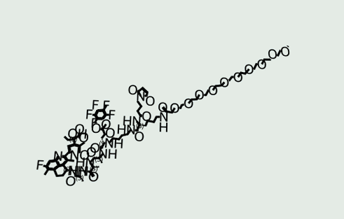 CC[C@@]1(O)C(=O)OCc2c1cc1n(c2=O)Cc2c-1nc1cc(F)c(C)c3c1c2[C@@H](NC(=O)[C@H](C)NC(=O)[C@H](C)NC(=O)[C@H](C)NC(=O)[C@H](CCC(=O)Oc1c(F)c(F)c(F)c(F)c1F)NC(=O)CCCNC(=O)[C@H](CCCCNC(=O)COCCOCCOCCOCCOCCOCCOCCOCCOCCOC)NC(=O)CCCN1C(=O)C=CC1=O)CC3